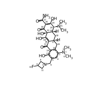 CN(C)c1cc(CN2CC(F)C2)c(O)c2c1C[C@H]1C[C@H]3[C@H](N(C)C)C(O)=C(C(N)=O)C(=O)[C@@]3(O)C(O)=C1C2=O